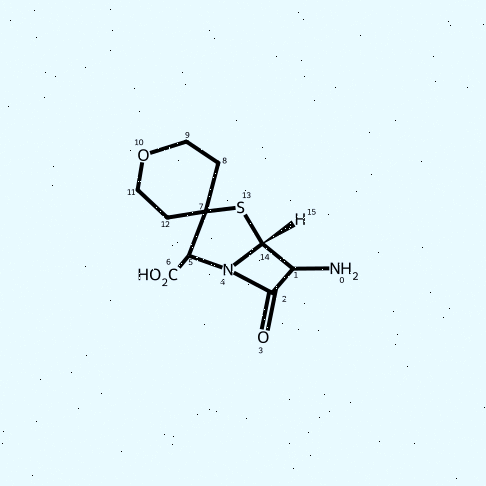 NC1C(=O)N2C(C(=O)O)C3(CCOCC3)S[C@H]12